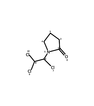 O=C1CCCN1C(Cl)C(Cl)Cl